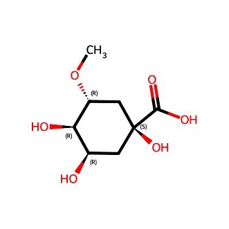 CO[C@@H]1C[C@](O)(C(=O)O)C[C@@H](O)[C@H]1O